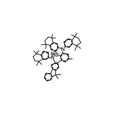 Cc1cc(-c2cc3c(cc2Nc2ccc4c(c2)C(C)(C)CCC4(C)C)-c2ccccc2C3(C)C)c2c(c1)N(c1ccc3c(c1)C(C)(C)CCC3(C)C)c1cc3c(cc1B2)C(C)(C)CCC3(C)C